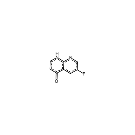 O=c1cc[nH]c2ncc(F)cc12